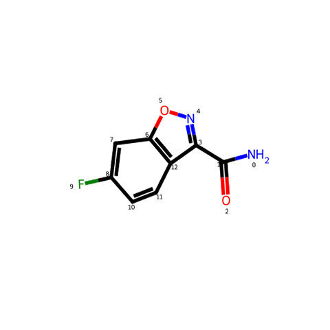 NC(=O)c1noc2cc(F)ccc12